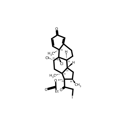 CCC(=O)O[C@@]1(C(=O)CI)[C@H](C)C[C@H]2[C@@H]3CCC4=CC(=O)C=C[C@]4(C)[C@@]3(Cl)[C@@H](Cl)C[C@@]21C